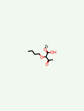 CCCCOC(C(C)=O)C(=O)O.[Zr]